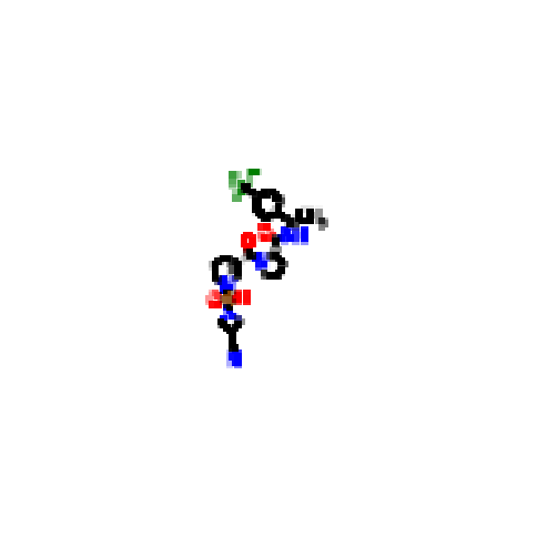 C[C@H](NC(=O)[C@H]1CCCN1C(=O)[C@H]1CCCN(S(=O)(=O)N2CC(C#N)C2)C1)c1ccc(C(F)(F)F)cc1